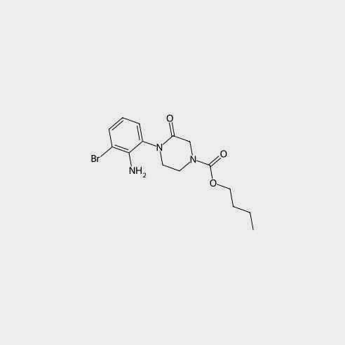 CCCCOC(=O)N1CCN(c2cccc(Br)c2N)C(=O)C1